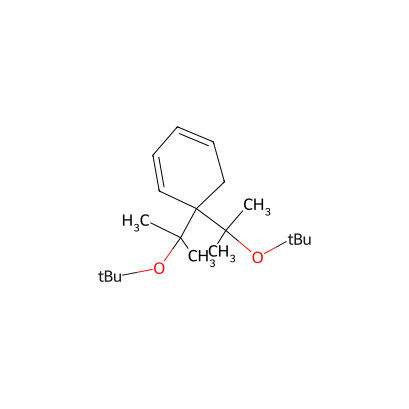 CC(C)(C)OC(C)(C)C1(C(C)(C)OC(C)(C)C)C=CC=CC1